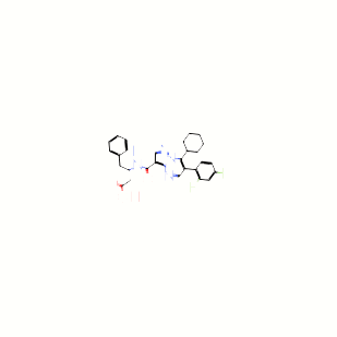 O=C(O)C[C@@H](Cc1ccccc1)NC(=O)c1cnn2c(C3CCCCC3)c(-c3ccc(F)cc3F)cnc12